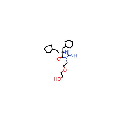 N=C1N[C@](CCC2CCCCC2)(CC2CCCCC2)C(=O)N1CCOCCO